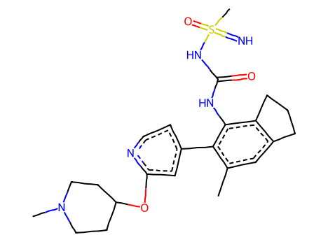 Cc1cc2c(c(NC(=O)NS(C)(=N)=O)c1-c1ccnc(OC3CCN(C)CC3)c1)CCC2